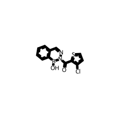 O=C(c1sccc1Cl)N1N=Cc2ccccc2B1O